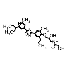 CCCc1cc(-c2noc(-c3cc(C)nc(C(CC)CC)c3)n2)cc(C)c1OC[C@H](O)CNC(=O)CO